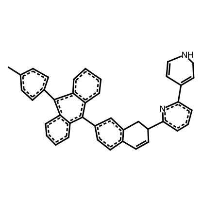 Cc1ccc(-c2c3ccccc3c(-c3ccc4c(c3)CC(c3cccc(C5=CCNC=C5)n3)C=C4)c3ccccc23)cc1